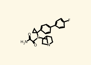 NC(=O)C(=O)N(C1CN2CCC1CC2)C1(c2ccc(-c3ccc(F)cc3)cc2)CC1